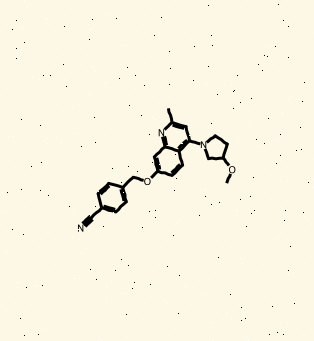 COC1CCN(c2cc(C)nc3cc(OCc4ccc(C#N)cc4)ccc23)C1